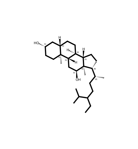 CCC(CC[C@@H](C)[C@H]1CC[C@H]2[C@@H]3CC[C@H]4C[C@@H](O)CC[C@]4(C)[C@H]3C[C@H](O)[C@]12C)C(C)C